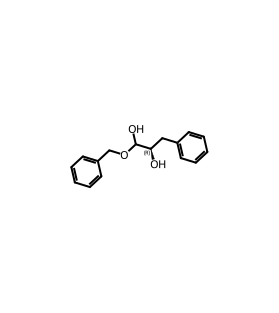 OC(OCc1ccccc1)[C@H](O)Cc1ccccc1